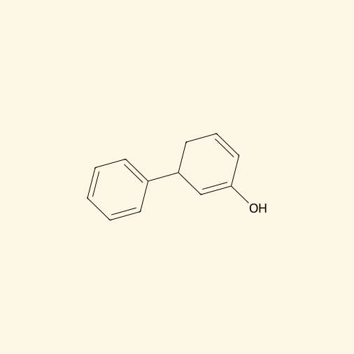 OC1=CC(c2ccccc2)CC=C1